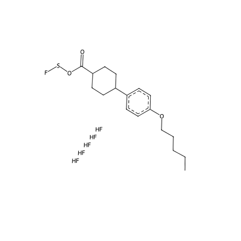 CCCCCOc1ccc(C2CCC(C(=O)OSF)CC2)cc1.F.F.F.F.F